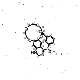 C#Cc1cccc(N(C)C2=NCNc3cc4c(cc32)OCCOCCOCCO4)c1